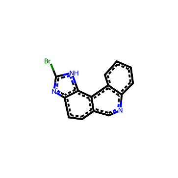 Brc1nc2ccc3cnc4ccccc4c3c2[nH]1